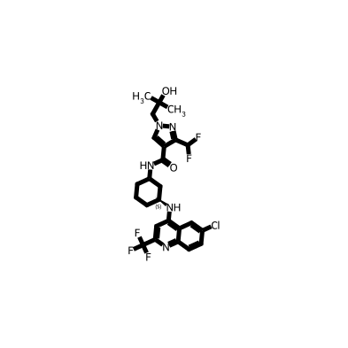 CC(C)(O)Cn1cc(C(=O)NC2CCC[C@H](Nc3cc(C(F)(F)F)nc4ccc(Cl)cc34)C2)c(C(F)F)n1